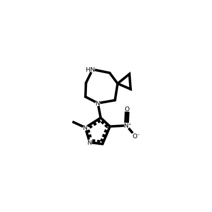 Cn1ncc([N+](=O)[O-])c1N1CCNCC2(CC2)C1